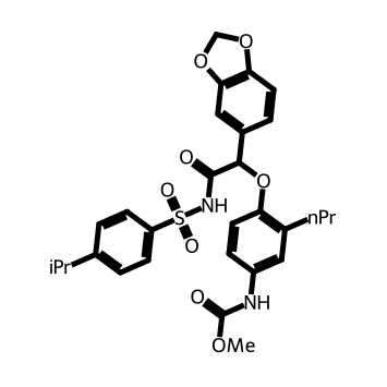 CCCc1cc(NC(=O)OC)ccc1OC(C(=O)NS(=O)(=O)c1ccc(C(C)C)cc1)c1ccc2c(c1)OCO2